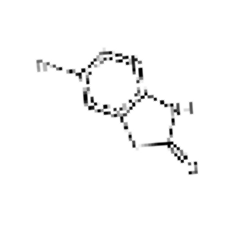 CC(C)c1cnc2c(c1)CC(=O)N2